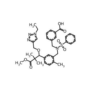 CCn1cc(COC(c2ccc(C)c(CN(Cc3cccc(C(=O)O)c3)S(=O)(=O)c3ccccc3)c2)C(C)(C)C(=O)OC)nn1